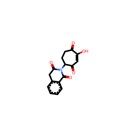 O=C1CCC(N2C(=O)Cc3ccccc3C2=O)C(=O)C=C1O